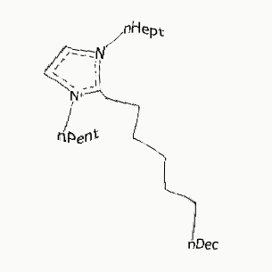 CCCCCCCCCCCCCCCc1n(CCCCCCC)cc[n+]1CCCCC